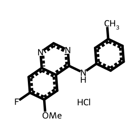 COc1cc2c(Nc3cccc(C)c3)ncnc2cc1F.Cl